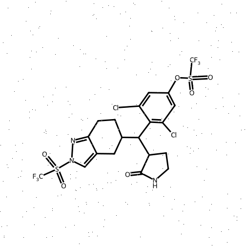 O=C1NCCC1C(c1c(Cl)cc(OS(=O)(=O)C(F)(F)F)cc1Cl)C1CCc2nn(S(=O)(=O)C(F)(F)F)cc2C1